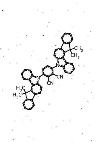 CC1(C)c2ccccc2-c2ccc3c(c21)c1ccccc1n3-c1ccc(-n2c3ccccc3c3c4c(ccc32)-c2ccccc2C4(C)C)c(C#N)c1C#N